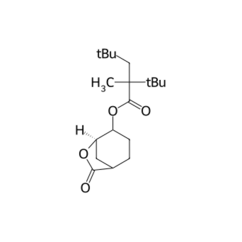 CC(C)(C)CC(C)(C(=O)OC1CCC2C[C@H]1OC2=O)C(C)(C)C